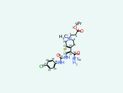 CC(C)OC(=O)CC[N+]1(C)CCc2c(sc(NC(=O)Nc3ccc(Cl)cc3)c2C(N)=O)C1.[I-]